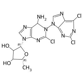 C[C@H]1O[C@@H](n2cnc3c2N=C(Cl)N(n2cnc4c(Cl)nc(Cl)nc42)C3N)C(O)C1O